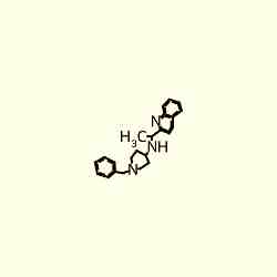 CC(NC1CCN(Cc2ccccc2)CC1)c1ccc2ccccc2n1